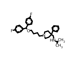 C=C(C)NCC1(c2ccccc2)CCN(CCCCOC(c2ccc(F)cc2)c2ccc(F)cc2)CC1